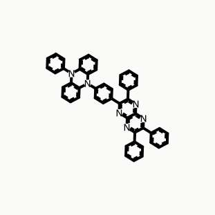 c1ccc(-c2nc3nc(-c4ccccc4)c(-c4ccc(N5c6ccccc6N(c6ccccc6)c6ccccc65)cc4)nc3nc2-c2ccccc2)cc1